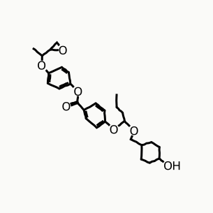 CCCC(OCC1CCC(O)CC1)Oc1ccc(C(=O)Oc2ccc(OC(C)C3CO3)cc2)cc1